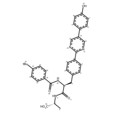 C[C@@H](NC(=O)[C@H](Cc1ccc(-c2ncc(-c3ccc(O)cc3)cn2)cc1)NC(=O)c1ccc(C(C)(C)C)cc1)C(=O)O